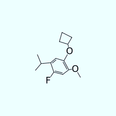 COc1cc(F)c(C(C)C)cc1OC1CCC1